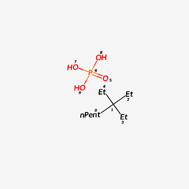 CCCCCC(CC)(CC)CC.O=P(O)(O)O